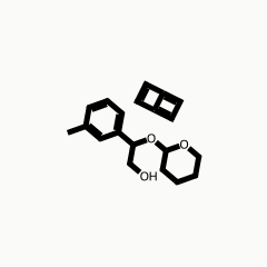 Cc1cccc(C(CO)OC2CCCCO2)c1.c1cc2ccc1-2